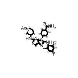 CC(=O)N1CCC[C@@H](Nc2ncc3nc(Nc4c(F)cc(F)cc4Cl)n(C4CCC(C(N)=O)CC4)c3n2)C1